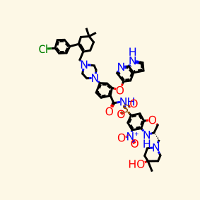 CC1(C)CCC(CN2CCN(c3ccc(C(=O)NS(=O)(=O)c4cc5c(c([N+](=O)[O-])c4)N[C@@H](CN4CCC(C)(O)CC4)CO5)c(Oc4cnc5[nH]ccc5c4)c3)CC2)=C(c2ccc(Cl)cc2)C1